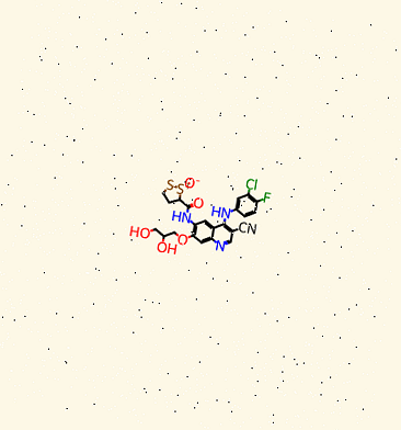 N#Cc1cnc2cc(OCC(O)CO)c(NC(=O)C3CCS[S+]3[O-])cc2c1Nc1ccc(F)c(Cl)c1